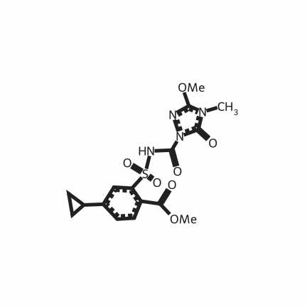 COC(=O)c1ccc(C2CC2)cc1S(=O)(=O)NC(=O)n1nc(OC)n(C)c1=O